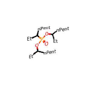 CCCCCC(CC)OP(=O)(OC(CC)CCCCC)C(CC)CCCCC